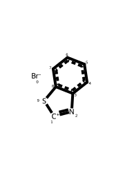 [Br-].[C+]1=Nc2ccccc2S1